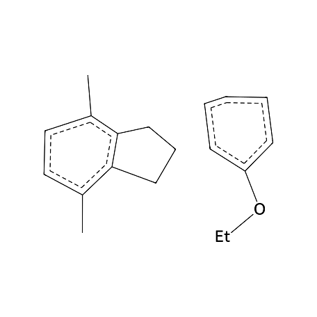 CCOc1ccccc1.Cc1ccc(C)c2c1CCC2